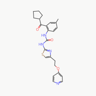 Cc1ccc(NC(=O)Nc2nc(CCOc3ccncc3)cs2)c(C(=O)C2CCCC2)c1